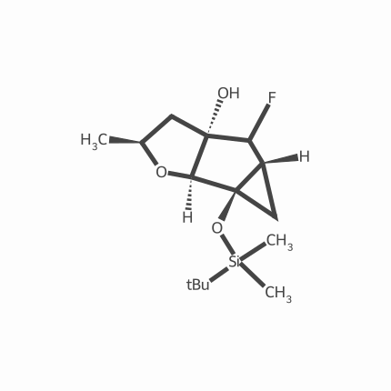 C[C@H]1C[C@@]2(O)C(F)[C@@H]3C[C@]3(O[Si](C)(C)C(C)(C)C)[C@H]2O1